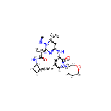 C=NN1C(NC)=CC(Nc2cccn([C@@H]3CCCOC3)c2=O)=N/C1=C(/C)C(=O)NC1CCC1OC